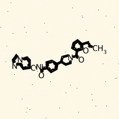 CC1Cc2cccc(C(=O)N3CCC(c4ccc(C(=O)NCc5ccn6ccnc6c5)cc4)CC3)c2O1